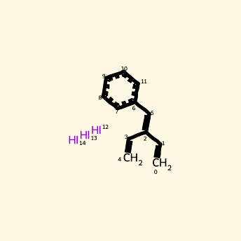 C=CC(C=C)=Cc1ccccc1.I.I.I